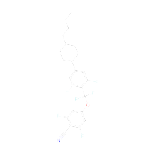 CCCCC1CCC(c2cc(F)c(C(F)(F)Oc3cc(F)c(C#N)c(F)c3)c(F)c2)CC1